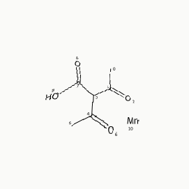 CC(=O)C(C(C)=O)C(=O)O.[Mn]